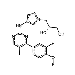 CCOc1ccc(-c2nc(Nc3cnn(C[C@@H](O)CO)c3)ncc2C)cc1F